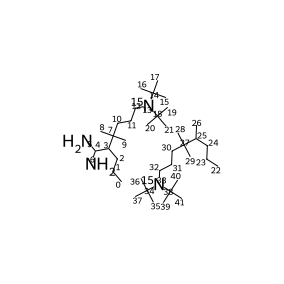 CCCC(C(N)N)C(C)(C)CCC[15N](C(C)(C)C)C(C)(C)C.CCCC(C)C(C)(C)CCC[15N](C(C)(C)C)C(C)(C)C